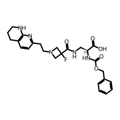 O=C(N[C@@H](CNC(=O)C1(F)CN(CCc2ccc3c(n2)NCCC3)C1)C(=O)O)OCc1ccccc1